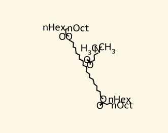 CCCCCCCCC(CCCCCC)CC(=O)OCCCCCCCCCC(CCCCCCCCCOC(=O)C(CCCCCC)CCCCCCCC)OC(=O)CCCN(C)C